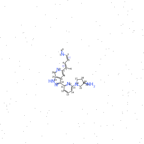 C=N/C=C\C=C(/C)c1cc2c(-c3cccc(N4CC[C@@H](N)C4)n3)n[nH]c2cn1